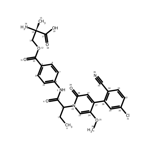 CCC(C(=O)Nc1ccc(C(=O)OC[C@](C)(N)C(=O)O)cc1)n1cc(OC)c(-c2cc(Cl)ccc2C#N)cc1=O